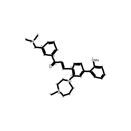 COc1ccccc1-c1ccc(C=CC(=O)c2cccc(CN(C)C)c2)c(N2CCCN(C)CC2)c1